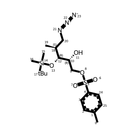 Cc1ccc(S(=O)(=O)OC[C@@H](O)[C@H](O[Si](C)(C)C(C)(C)C)[C@@H](C)CN=[N+]=[N-])cc1